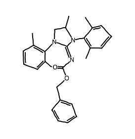 Cc1cccc(C)c1N1CC(C)N(c2c(C)cccc2C)C1=NC(=O)OCc1ccccc1